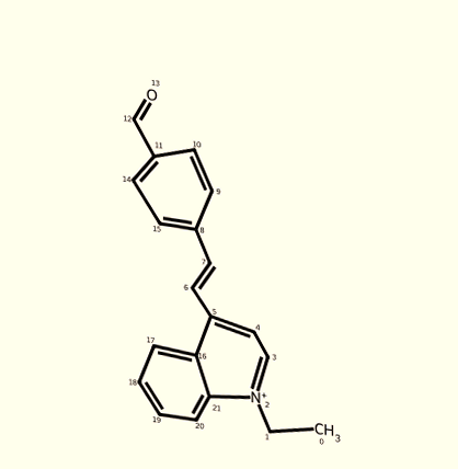 CC[n+]1ccc(C=Cc2ccc(C=O)cc2)c2ccccc21